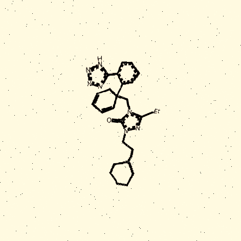 CCc1nn(CCC2CCCCC2)c(=O)n1CC1(c2ccccc2-c2nnn[nH]2)C=CC=CC1